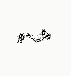 CC(COc1ccc(N)c2ccccc12)C(=O)OCCN1CCN(CCCN2c3ccccc3Sc3ccc(C(F)(F)F)cc32)CC1